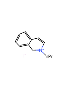 CCC[n+]1ccc2ccccc2c1.[I-]